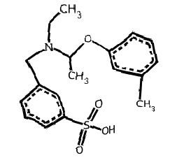 CCN(Cc1cccc(S(=O)(=O)O)c1)C(C)Oc1cccc(C)c1